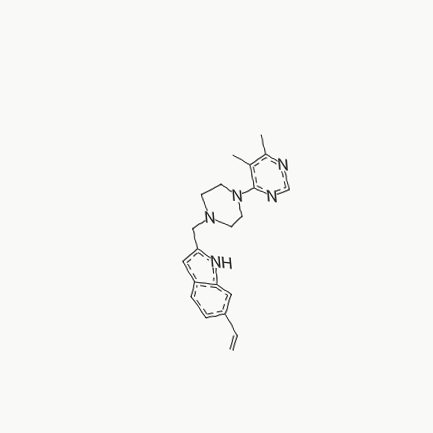 C=Cc1ccc2cc(CN3CCN(c4ncnc(C)c4C)CC3)[nH]c2c1